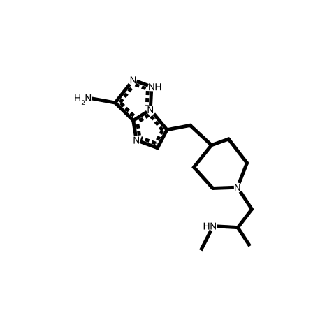 CNC(C)CN1CCC(Cc2cnc3c(N)n[nH]n23)CC1